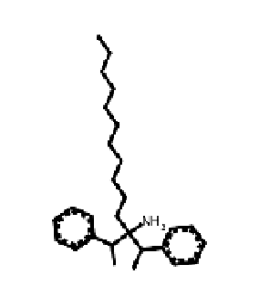 CCCCCCCCCCCC(N)(C(C)c1ccccc1)C(C)c1ccccc1